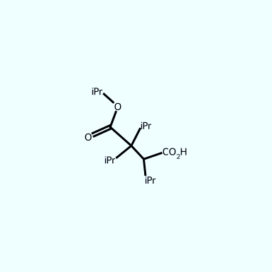 CC(C)OC(=O)C(C(C)C)(C(C)C)C(C(=O)O)C(C)C